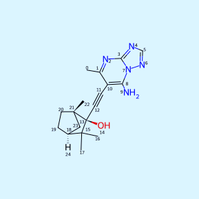 Cc1nc2ncnn2c(N)c1C#C[C@]1(O)C(C)(C)[C@H]2CC[C@@]1(C)C2